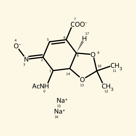 CC(=O)NC1/C(=N/[O-])C=C(C(=O)[O-])[C@H]2OC(C)(C)OC12.[Na+].[Na+]